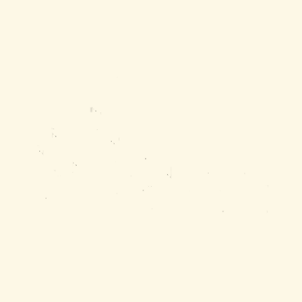 CC(C)Nc1nc(C(C)(C)C(=O)NCCc2ccccc2)cn2c(=O)[nH]nc12